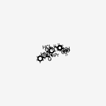 CCCN1C(=O)[C@@H](CC2(O)CCCCC2)NC(=O)C12CCN(Cc1ccc(NS(C)(=O)=O)cc1)CC2.Cl